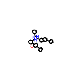 C1=CC(c2nc(C3=CCCc4oc5cc(-c6ccccc6)ccc5c43)nc(-c3ccc4cc(-c5ccccc5)ccc4c3)n2)=CCC1